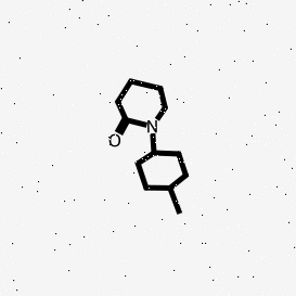 CC1CCC(N2CCCCC2=O)CC1